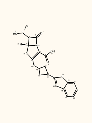 C[C@@H](O)[C@H]1C(=O)N2C(C(=O)O)=C(SC3CN(c4nc5ccccc5s4)C3)S[C@H]12